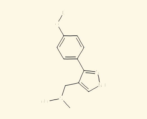 CCCN(C)Cc1c[nH]nc1-c1ccc(OCC)cc1